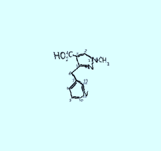 Cn1cc(C(=O)O)c(Cc2cccnc2)n1